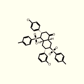 Cc1ccc(S(=O)(=O)C2C[C@H]3C(=O)C[C@@H](c4ccc(Cl)cc4)C(S(=O)(=O)c4ccc(C)cc4)[C@H]3C[C@H]2c2cccc(Cl)c2)cc1